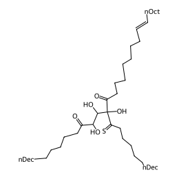 CCCCCCCCC=CCCCCCCCC(=O)C(O)(C(=S)CCCCCCCCCCCCCCC)C(O)C(O)C(=O)CCCCCCCCCCCCCCC